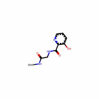 CNNC(=O)CNC(=O)c1ncccc1O